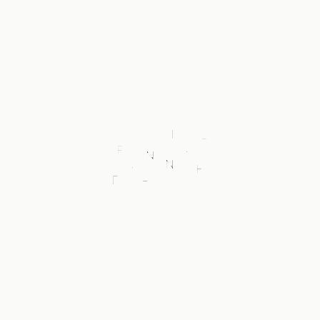 FC(F)(F)N=NC(F)(F)F